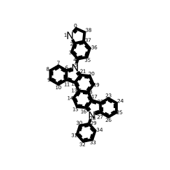 C1=Nc2cc(-n3c4ccccc4c4c5ccc6c(c5ccc43)c3ccccc3n6-c3ccccc3)ccc2C1